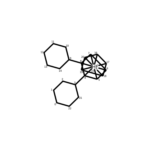 C1CCC([C]23[CH]4[CH]5[CH]6[C]2(C2CCCCC2)[Hf]54632789[CH]3[CH]2[CH]7[CH]8[CH]39)CC1